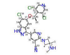 CNC1(C)CN(c2ncc(-c3n[nH]c4cc(Cl)c(O[C@H](C)c5c(Cl)cncc5Cl)cc34)cc2C#N)C1